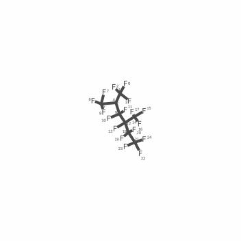 FC(F)(F)[C](C(F)(F)F)C(F)(F)C(F)(C(F)(F)F)C(F)(F)C(F)(F)F